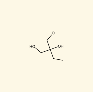 CCC(O)(C[O])CO